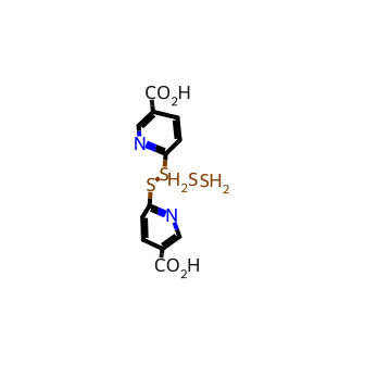 O=C(O)c1ccc(SSc2ccc(C(=O)O)cn2)nc1.S.S